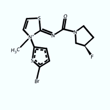 C[N+]1(c2ccc(Br)s2)C=CSC1=NC(=O)N1CC[C@@H](F)C1